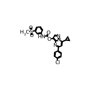 CS(=O)(=O)c1cccc(NC(=O)Oc2cnn3c(C4CC4)cc(-c4ccc(Cl)cc4)nc23)c1